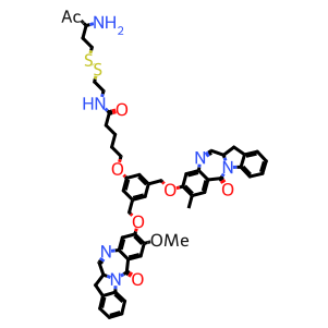 COc1cc2c(cc1OCc1cc(COc3cc4c(cc3C)C(=O)N3c5ccccc5CC3C=N4)cc(OCCCCC(=O)NCCSSCCC(N)C(C)=O)c1)N=CC1Cc3ccccc3N1C2=O